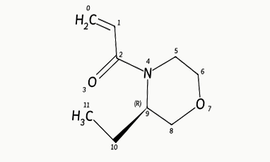 C=CC(=O)N1CCOC[C@H]1CC